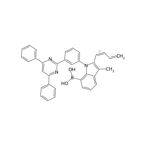 C=C/C=C\c1c(C)c2cccc(B(O)O)c2n1-c1cccc(-c2nc(-c3ccccc3)cc(-c3ccccc3)n2)c1